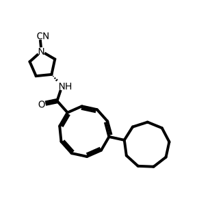 N#CN1CC[C@@H](NC(=O)c2cccccc(C3CCCCCCCC3)ccc2)C1